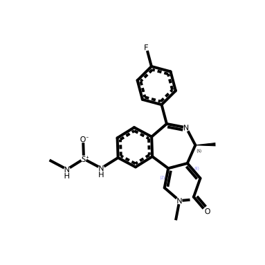 CN[S+]([O-])Nc1ccc2c(c1)C(=C/N(C)C)/C(=C\C=O)[C@H](C)N=C2c1ccc(F)cc1